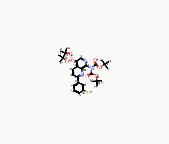 CC(C)(C)OC(=O)N(C(=O)OC(C)(C)C)c1ncc(B2OC(C)(C)C(C)(C)O2)c2ccc(-c3cccc(F)c3)nc12